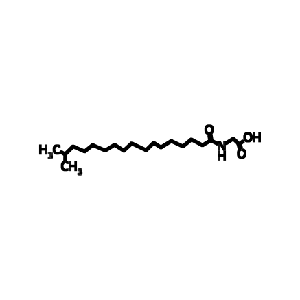 CC(C)CCCCCCCCCCCCCCC(=O)NCC(=O)O